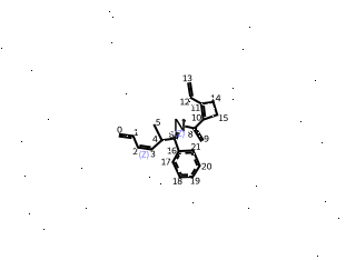 C=C/C=C\C(C)/C(=N/C(=C)C1=C(C=C)CC1)c1ccccc1